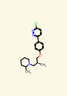 CC1CCCCN1C[C@H](C)COc1ccc(-c2ccc(Cl)nn2)cc1